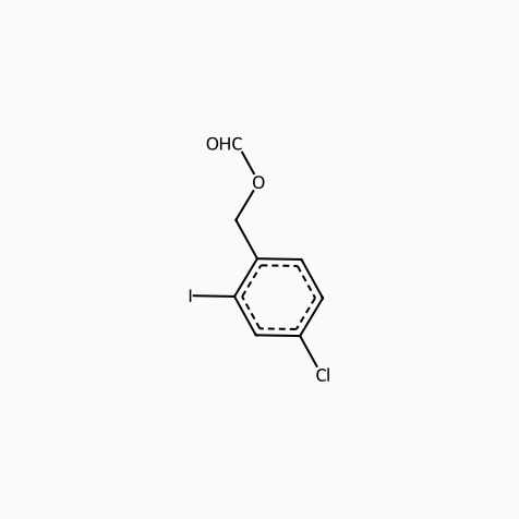 O=COCc1ccc(Cl)cc1I